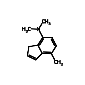 Cc1ccc(N(C)C)c2c1C=CC2